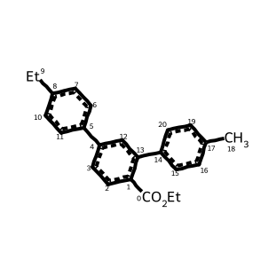 CCOC(=O)c1ccc(-c2ccc(CC)cc2)cc1-c1ccc(C)cc1